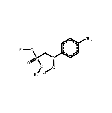 CCOP(CP(=O)(OCC)OCC)c1ccc(N)cc1